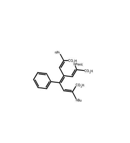 CCCCCC(=CC(C=C(CCC)C(=O)O)=C(C=C(CCCC)C(=O)O)c1ccccc1)C(=O)O